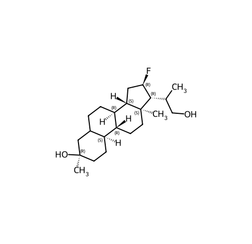 CC(CO)[C@H]1[C@H](F)C[C@H]2[C@@H]3CCC4C[C@](C)(O)CC[C@@H]4[C@H]3CC[C@@]21C